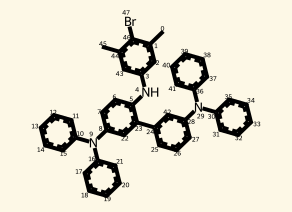 Cc1cc(Nc2ccc(N(c3ccccc3)c3ccccc3)cc2-c2cccc(N(c3ccccc3)c3ccccc3)c2)cc(C)c1Br